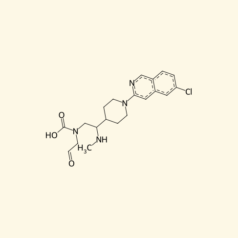 CNC(CN(CC=O)C(=O)O)C1CCN(c2cc3cc(Cl)ccc3cn2)CC1